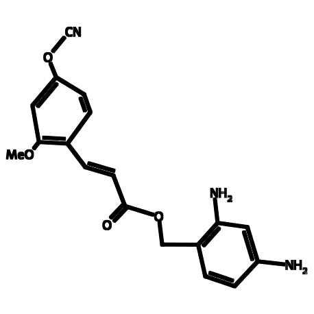 COc1cc(OC#N)ccc1/C=C/C(=O)OCc1ccc(N)cc1N